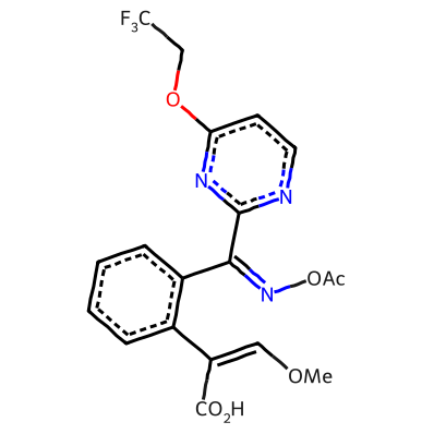 COC=C(C(=O)O)c1ccccc1C(=NOC(C)=O)c1nccc(OCC(F)(F)F)n1